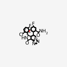 NC(=O)c1cc(F)cc(C(F)(F)F)c1-c1cn2ncnc2c2c1C(c1cc(F)ccc1Cl)NC2=O